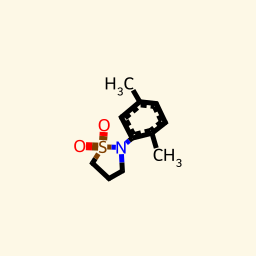 Cc1ccc(C)c(N2CCCS2(=O)=O)c1